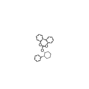 c1ccc([C@@H]2CCCC[C@H]2Op2oc3ccccc3c3ccccc3o2)cc1